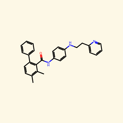 Cc1ccc(-c2ccccc2)c(C(=O)Nc2ccc(NCCc3ccccn3)cc2)c1C